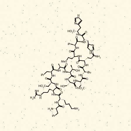 CC[C@H](C)[C@H](NC(=O)[C@H](CC(=O)O)NC(=O)[C@H](CO)NC(=O)[C@@H](NC(=O)[C@H](C)NC(=O)[C@H](CC(C)C)NC(=O)[C@H](CC(=O)O)NC(=O)[C@H](CCCNC(=N)N)NC(=O)[C@H](CCCCN)NC(=O)[C@@H](N)CC(C)C)[C@@H](C)O)C(=O)N[C@@H](CCC(N)=O)C(=O)N[C@@H](CCSC)C(=O)N[C@H](C(=O)N[C@@H](Cc1c[nH]cn1)C(=O)N[C@@H](Cc1c[nH]cn1)C(=O)O)C(C)C